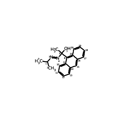 CC(C)N=NC(C)(O)c1c2ccccc2cc2ccccc12